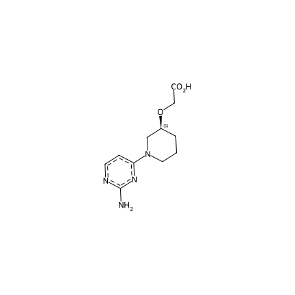 Nc1nccc(N2CCC[C@H](OCC(=O)O)C2)n1